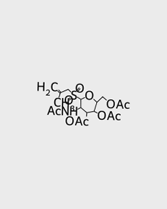 C=C(C)CS(=O)(=O)C1OC(COC(C)=O)C(OC(C)=O)C(OC(C)=O)C1NC(C)=O